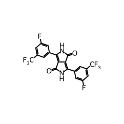 O=C1NC(c2cc(F)cc(C(F)(F)F)c2)=C2C(=O)NC(c3cc(F)cc(C(F)(F)F)c3)=C12